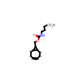 O=C(O)CCCNC(=O)OCC1C2CCC#CCCC21